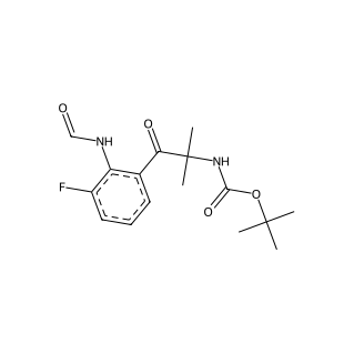 CC(C)(C)OC(=O)NC(C)(C)C(=O)c1cccc(F)c1NC=O